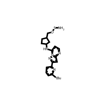 CC(C)(C)c1cccc(-c2cc3nccc(NC4CCC(COSN)C4)n3n2)n1